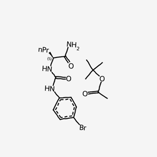 CC(=O)OC(C)(C)C.CCC[C@H](NC(=O)Nc1ccc(Br)cc1)C(N)=O